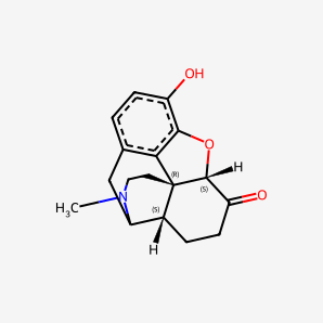 CN1CC[C@@]23c4c5ccc(O)c4O[C@@H]2C(=O)CC[C@@H]3C1C5